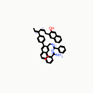 C/C=C(\C=C/Cc1cc2ccccc2cc1O)c1ccc(-c2cc3ccccc3cc2C/N=C(\N=C(/N)c2ccccc2)c2ccccc2)cc1